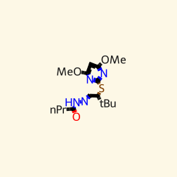 CCCC(=O)N/N=C/C(Sc1nc(OC)cc(OC)n1)C(C)(C)C